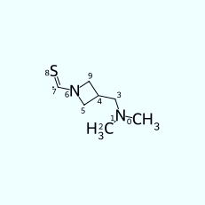 CN(C)CC1CN([C]=S)C1